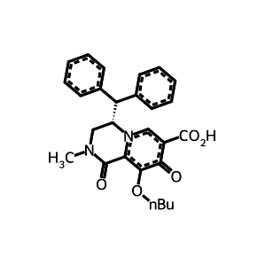 CCCCOc1c2n(cc(C(=O)O)c1=O)[C@@H](C(c1ccccc1)c1ccccc1)CN(C)C2=O